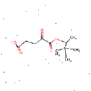 CC(OC(=O)C(=O)CCC(=O)O)[Si](C)(C)C